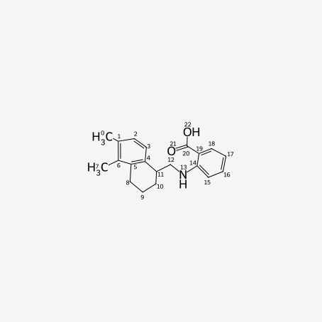 Cc1ccc2c(c1C)CCCC2CNc1ccccc1C(=O)O